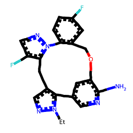 CCn1ncc2c1-c1cnc(N)c(c1)OCc1cc(F)ccc1-n1ncc(F)c1C2